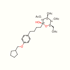 CC(=O)OC[C@H]1O[C@](O)(CCCCc2ccc(OCC3CCCC3)cc2)[C@H](OC(C)=O)[C@@H](OC(C)=O)[C@@H]1OC(C)=O